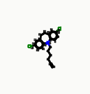 C#CCCCCN1c2ccc(Cl)cc2CCc2cc(Cl)ccc21